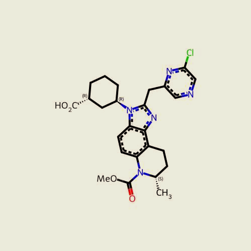 COC(=O)N1c2ccc3c(nc(Cc4cncc(Cl)n4)n3[C@@H]3CCC[C@@H](C(=O)O)C3)c2CC[C@@H]1C